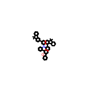 CC1(C)C2=C(CCC=C2)c2c(-c3ccccc3N(c3cccc(-c4ccc5c(c4)-c4ccccc4C5(C)C)c3)c3ccccc3-c3cccc4c3oc3ccccc34)cccc21